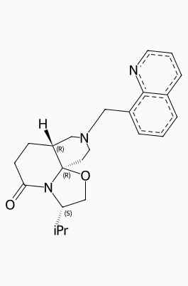 CC(C)[C@H]1CO[C@]23CCN(Cc4cccc5cccnc45)C[C@H]2CCC(=O)N13